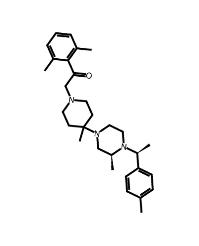 Cc1ccc([C@H](C)N2CCN(C3(C)CCN(CC(=O)c4c(C)cccc4C)CC3)C[C@@H]2C)cc1